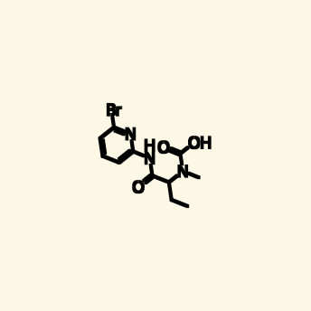 CCC(C(=O)Nc1cccc(Br)n1)N(C)C(=O)O